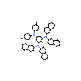 Cc1ccc(N(c2ccc(C)cc2)c2cc3c4c(c2)N(c2ccc5ccccc5c2)c2cc5ccccc5cc2B4c2cc4ccccc4cc2N3c2ccc3ccccc3c2)cc1